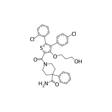 NC(=O)C1(c2ccccc2)CCN(C(=O)c2sc(-c3ccccc3Cl)c(-c3ccc(Cl)cc3)c2OCCCO)CC1